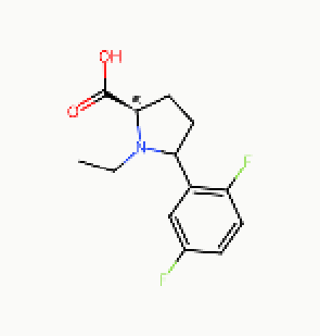 CCN1C(c2cc(F)ccc2F)CC[C@@H]1C(=O)O